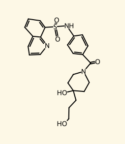 O=C(c1ccc(NS(=O)(=O)c2cccc3cccnc23)cc1)N1CCC(O)(CCCO)CC1